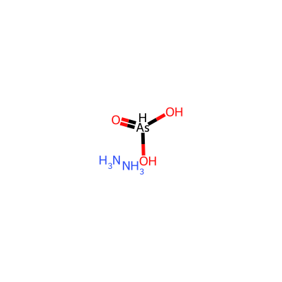 N.N.O=[AsH](O)O